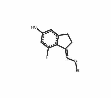 CCO/N=C1\CCc2cc(O)cc(F)c21